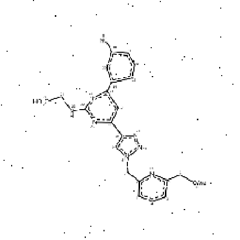 COCc1cccc(Cn2cc(-c3cc(-c4cccc(C#N)c4)nc(NCC(=O)O)n3)nn2)n1